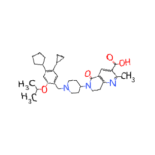 Cc1nc2c(cc1C(=O)O)C(=O)N(C1CCN(Cc3cc(C4CC4)c(C4CCCC4)cc3OC(C)C)CC1)CC2